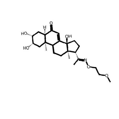 COCCO/N=C(\C)[C@H]1CC[C@@]2(O)C3=CC(=O)[C@@H]4C[C@@H](O)[C@@H](O)C[C@]4(C)C3CC[C@]12C